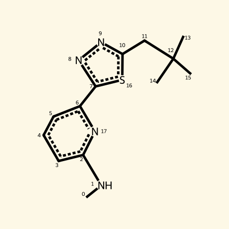 CNc1cccc(-c2nnc(CC(C)(C)C)s2)n1